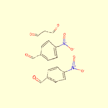 O=Cc1ccc([N+](=O)[O-])cc1.O=Cc1ccc([N+](=O)[O-])cc1.O=[C]CC=O